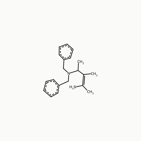 CC([SiH3])=C(C)C(C)N(Cc1ccccc1)Cc1ccccc1